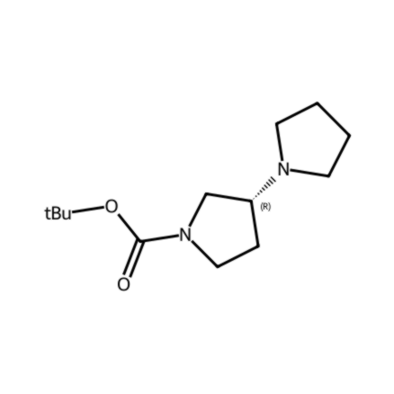 CC(C)(C)OC(=O)N1CC[C@@H](N2CCCC2)C1